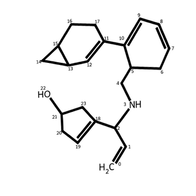 C=CC(NCC1CC=CC=C1C1=CC2CC2CC1)C1=CCC(O)C1